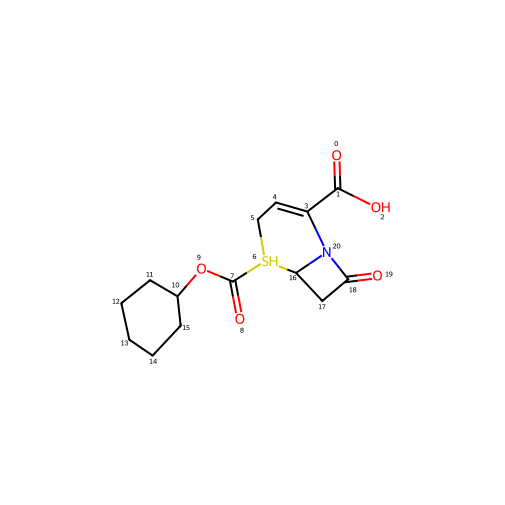 O=C(O)C1=CC[SH](C(=O)OC2CCCCC2)C2CC(=O)N12